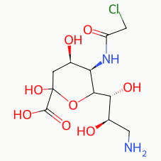 NC[C@@H](O)[C@@H](O)C1OC(O)(C(=O)O)C[C@@H](O)[C@H]1NC(=O)CCl